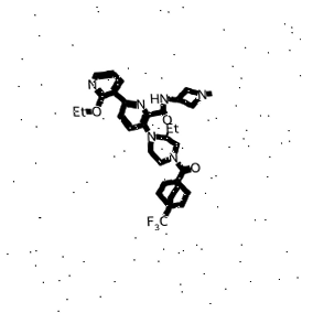 CCOc1ncccc1-c1ccc(N2CCN(C(=O)C34CCC(C(F)(F)F)(CC3)CC4)C[C@H]2CC)c(C(=O)NC2CN(C)C2)n1